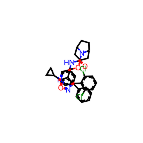 O=C(Nc1cncc(-c2ccccc2)c1)N1C2CCC1CC(OCc1c(-c3c(Cl)cccc3Cl)noc1C1CC1)C2